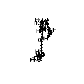 CC(C)N(C[C@H]1O[C@@H](n2cnc3c(NCCCCNC(=O)CCCCCCCNc4cccc5c4C(=O)N(C4CCC(=O)NC4=O)C5=O)ncnc32)C(O)C1O)C1CC(CCc2nc3cc(C(C)(C)C)ccc3[nH]2)C1